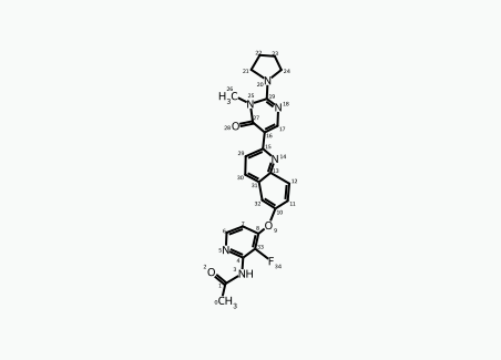 CC(=O)Nc1nccc(Oc2ccc3nc(-c4cnc(N5CCCC5)n(C)c4=O)ccc3c2)c1F